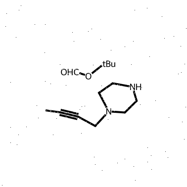 CC#CCN1CCNCC1.CC(C)(C)OC=O